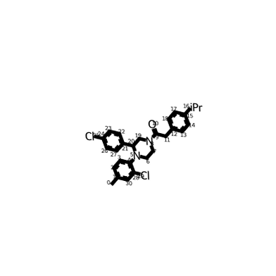 Cc1ccc(N2CCN(C(=O)Cc3ccc(C(C)C)cc3)CC2c2ccc(Cl)cc2)c(Cl)c1